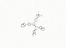 C=Nc1cc(-c2ccc(-c3cc(-c4ccc(-c5ccc6cccnc6c5)cc4)cc(-c4nc(-c5ccc6ccccc6c5)nc(-c5ccc6ccccc6c5)n4)c3)cc2)ccc1/C=C\C